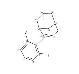 Cc1cccc(C)c1C1[C]2CC3CC(C2)CC1C3